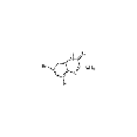 Cc1nc2c(F)cc(Br)cc2[nH]c1=O